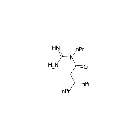 CC[CH]C(CC(=O)N(CCC)C(=N)N)C(C)C